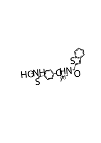 C[C@H](CNC(=O)c1cc2ccccc2s1)Oc1ccc(C(=S)NO)cc1